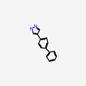 C1=N[N]C=C1c1ccc(-c2ccccc2)cc1